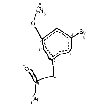 COc1cc(Br)cc(CC(=O)O)c1